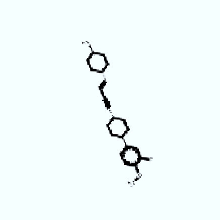 CCC[C@H]1CC[C@H](C=CC#C[C@H]2CC[C@H](c3ccc(OC(F)(F)F)c(F)c3)CC2)CC1